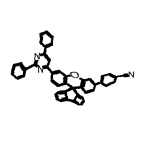 N#Cc1ccc(-c2ccc3c(c2)Oc2cc(-c4cc(-c5ccccc5)nc(-c5ccccc5)n4)ccc2C32c3ccccc3-c3ccccc32)cc1